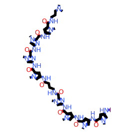 CN(C)CCCNC(=O)c1cc(NC(=O)c2nc(NC(=O)c3nc(NC(=O)c4cc(NC(=O)CCCNC(=O)c5nc(NC(=O)c6cc(NC(=O)c7cc(NC(=O)c8cc(NI)cn8C)cn7C)cn6C)cn5C)cn4C)cn3C)cn2C)cn1C